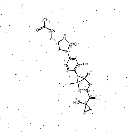 CC(=O)NC[C@H]1CN(c2ccc([C@H]3[C@@H]4CN(C(=O)C5(O)CC5)C[C@@H]43)c(F)c2)C(=O)O1